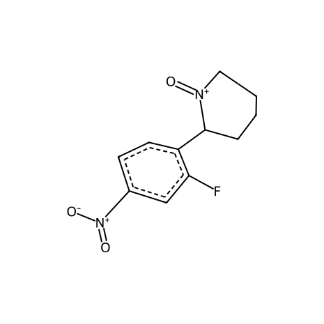 O=[N+]([O-])c1ccc(C2CCCC[N+]2=O)c(F)c1